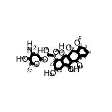 COc1cccc2c1C(=O)c1c(O)c3c(c(O)c1C2=O)C[C@H](O)C[C@@H]3C(=O)C(O)O[C@H]1C[C@H](N)[C@@H](O)[C@@H](C)O1